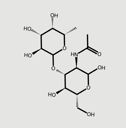 CC(=O)N[C@H]1C(O)O[C@H](CO)[C@@H](O)[C@@H]1OC1O[C@@H](C)[C@@H](O)[C@@H](O)[C@@H]1O